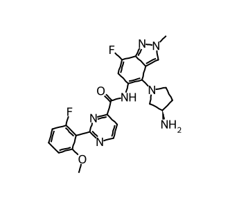 COc1cccc(F)c1-c1nccc(C(=O)Nc2cc(F)c3nn(C)cc3c2N2CC[C@@H](N)C2)n1